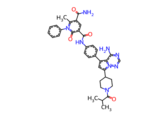 Cc1c(C(N)=O)cc(C(=O)Nc2ccc(-c3cc(C4CCN(C(=O)C(C)C)CC4)n4ncnc(N)c34)cc2)c(=O)n1-c1ccccc1